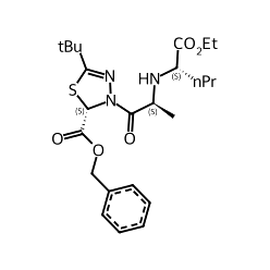 CCC[C@H](N[C@@H](C)C(=O)N1N=C(C(C)(C)C)S[C@H]1C(=O)OCc1ccccc1)C(=O)OCC